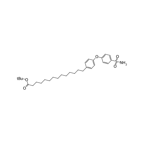 CC(C)(C)OC(=O)CCCCCCCCCCCCCc1ccc(Oc2ccc(S(N)(=O)=O)cc2)cc1